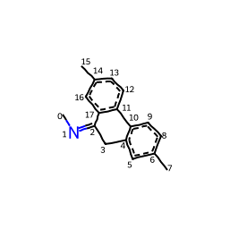 C/N=C1/Cc2cc(C)ccc2-c2ccc(C)cc21